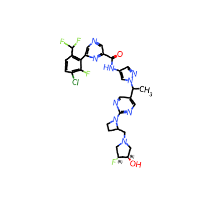 CC(c1cnc(N2CCC2CN2C[C@@H](O)[C@H](F)C2)nc1)n1cc(NC(=O)c2cncc(-c3c(C(F)F)ccc(Cl)c3F)n2)cn1